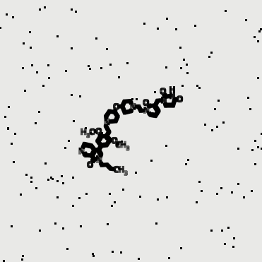 CCCCn1cc(-c2cc(OC)c(CCN3CCC(OC4CCN(CCn5cccc(Cn6ccc(=O)[nH]c6=O)c5=O)CC4)CC3)c(OC)c2)c2ccncc2c1=O